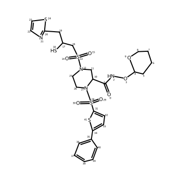 O=C(NOC1CCCCO1)C1CN(S(=O)(=O)CC(S)Cc2nccs2)CCN1S(=O)(=O)c1ccc(-c2ccccc2)s1